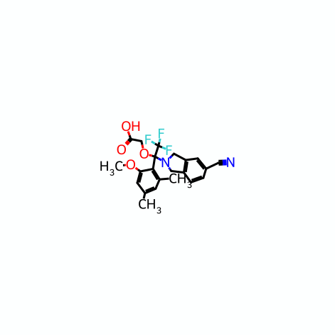 COc1cc(C)cc(C)c1C(OCC(=O)O)(N1Cc2ccc(C#N)cc2C1)C(F)(F)F